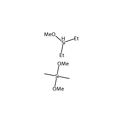 CC[SiH](CC)OC.CO[Si](C)(C)OC